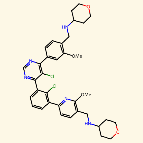 COc1cc(-c2ncnc(-c3cccc(-c4ccc(CNC5CCOCC5)c(OC)n4)c3Cl)c2Cl)ccc1CNC1CCOCC1